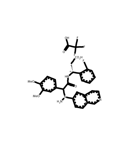 COc1ccc(C(C(=O)N[C@H](CC(=O)O)c2ccccc2F)N(N)c2ccc3cnccc3c2)cc1OC.O=C(O)C(F)(F)F